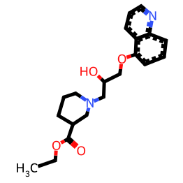 CCOC(=O)C1CCCN(CC(O)COc2cccc3ncccc23)C1